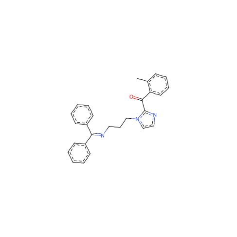 Cc1ccccc1C(=O)c1nccn1CCCN=C(c1ccccc1)c1ccccc1